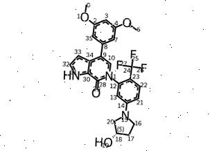 COc1cc(OC)cc(-c2cn(-c3cc(N4CC[C@H](O)C4)ccc3C(F)(F)F)c(=O)c3[nH]ccc23)c1